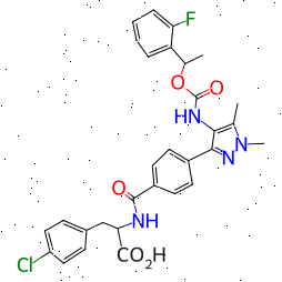 Cc1c(NC(=O)OC(C)c2ccccc2F)c(-c2ccc(C(=O)NC(Cc3ccc(Cl)cc3)C(=O)O)cc2)nn1C